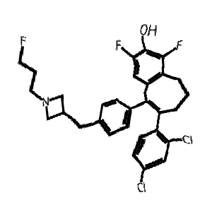 Oc1c(F)cc2c(c1F)CCCC(c1ccc(Cl)cc1Cl)=C2c1ccc(CC2CN(CCCF)C2)cc1